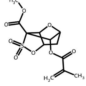 C=C(C)C(=O)OC1C2CC3OS(=O)(=O)C1(C(=O)OC)C3O2